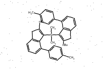 CCCCC1=C([Si](C)(C)C2=C(CCCC)[CH]c3cccc(-c4ccc(C)cc4)c32)c2c(cccc2-c2ccc(C)cc2)[CH]1